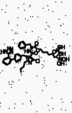 CCCCc1nc(Cl)c(C(=O)N[C@@H](Cc2ccccc2)C(=O)OCCCCC(CON(O)O)ON(O)O)n1Cc1ccc(-c2ccccc2-c2nnn[nH]2)cc1